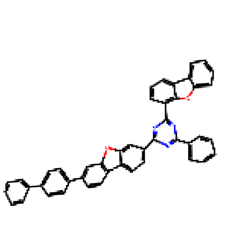 c1ccc(-c2ccc(-c3ccc4c(c3)oc3cc(-c5nc(-c6ccccc6)nc(-c6cccc7c6oc6ccccc67)n5)ccc34)cc2)cc1